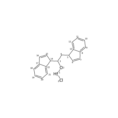 [Cl][Hf][O]C(CC1C=Cc2ccccc21)C1C=Cc2ccccc21